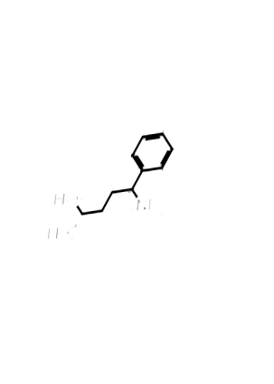 C[C@H](O)CCC(N)c1ccccc1